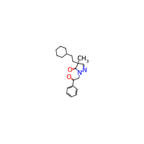 CC1(CCC2CCCCC2)C=NN(CC(=O)c2ccccc2)C1=O